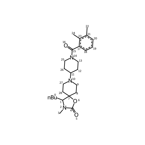 CCCCC1N(C)C(=O)OC12CCN(C1CCN(C(=O)c3cccc(C)c3C)CC1)CC2